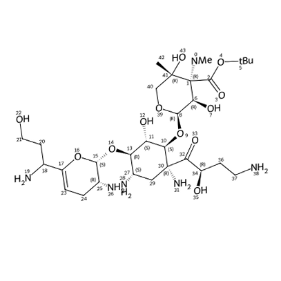 CN[C@]1(C(=O)OC(C)(C)C)[C@@H](O)[C@@H](O[C@@H]2[C@@H](O)[C@H](O[C@H]3OC(C(N)CCO)=CC[C@H]3N)[C@@H](N)C[C@]2(N)C(=O)[C@H](O)CCN)OC[C@]1(C)O